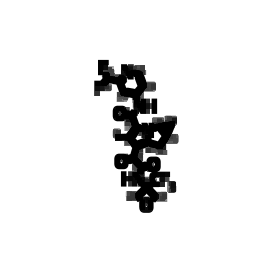 Cc1c(C(=O)C(=O)NC2(C(F)(F)F)COC2)c2n(c1C(=O)Nc1ccnc(C(F)F)c1)C1CC1C2